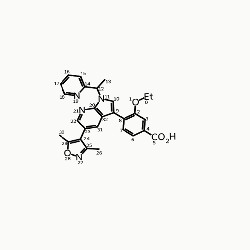 CCOc1cc(C(=O)O)ccc1-c1cn(C(C)c2ccccn2)c2ncc(-c3c(C)noc3C)cc12